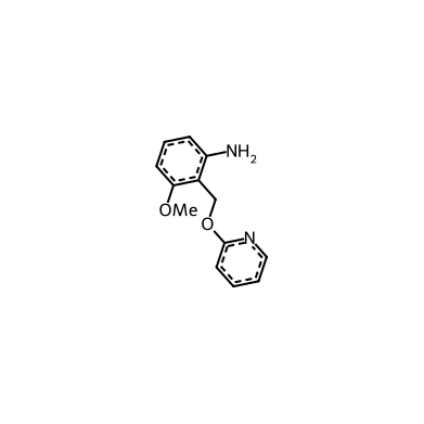 COc1cccc(N)c1COc1ccccn1